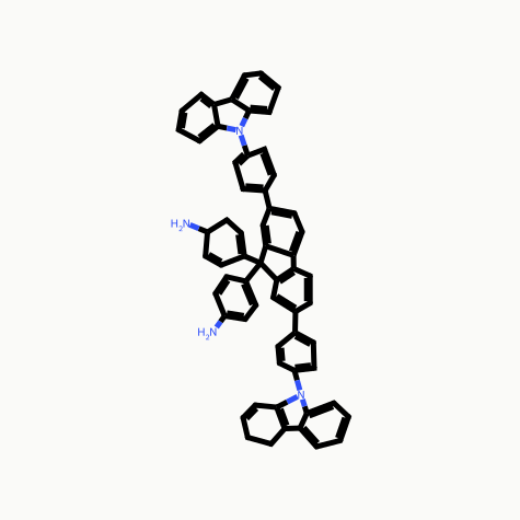 Nc1ccc(C2(C3=CCC(N)C=C3)c3cc(-c4ccc(-n5c6c(c7ccccc75)CCC=C6)cc4)ccc3-c3ccc(-c4ccc(-n5c6ccccc6c6ccccc65)cc4)cc32)cc1